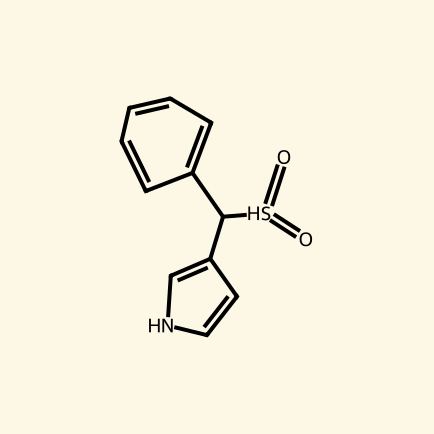 O=[SH](=O)C(c1ccccc1)c1cc[nH]c1